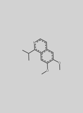 COc1cc2ccnc(C(C)C)c2cc1OC